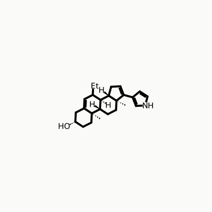 CCC1C=C2C[C@@H](O)CC[C@]2(C)[C@H]2CC[C@]3(C)C(c4cc[nH]c4)=CC[C@H]3[C@H]12